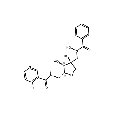 O=C(NC[C@H]1OC[C@@](O)(CN(O)C(=O)c2ccccc2)[C@@H]1O)c1cnccc1Cl